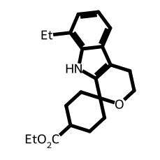 CCOC(=O)C1CCC2(CC1)OCCc1c2[nH]c2c(CC)cccc12